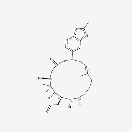 C=CC[C@H]1C(=O)C(C)(C)[C@@H](O)CC(=O)OC(c2ccc3oc(C)nc3c2)C/C=C(\C)CCC[C@H](C)[C@@H]1O